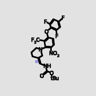 CC(C)(C)OC(=O)N/C=C1/CCCN(c2c([N+](=O)[O-])ccc(Oc3c(F)cc(F)cc3F)c2C(F)(F)F)C1